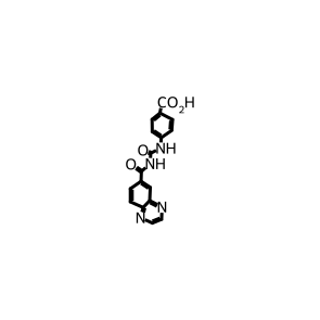 O=C(NC(=O)c1ccc2nccnc2c1)Nc1ccc(C(=O)O)cc1